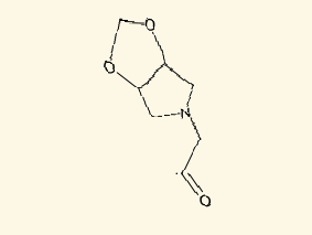 O=[C]CN1CC2OCOC2C1